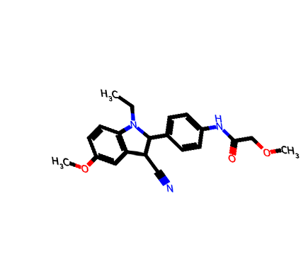 CCN1c2ccc(OC)cc2C(C#N)C1c1ccc(NC(=O)COC)cc1